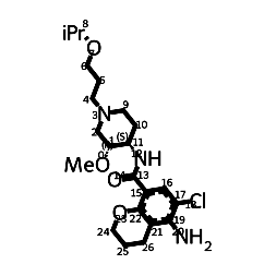 CO[C@@H]1CN(CCCOC(C)C)CC[C@@H]1NC(=O)c1cc(Cl)c(N)c2c1OCCC2